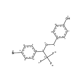 Oc1ccc(COC(c2ccc(Br)cc2)C(F)(F)F)cc1